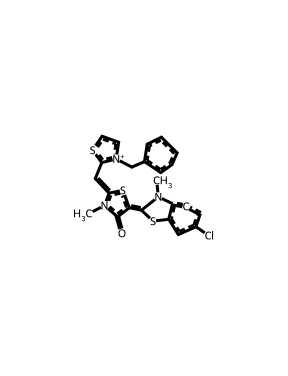 CN1/C(=c2\s/c(=C\c3scc[n+]3Cc3ccccc3)n(C)c2=O)Sc2cc(Cl)ccc21